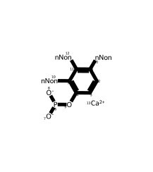 CCCCCCCCCc1ccc(OP([O-])[O-])c(CCCCCCCCC)c1CCCCCCCCC.[Ca+2]